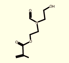 C=C(C)C(=O)OCCN(C=O)CCO